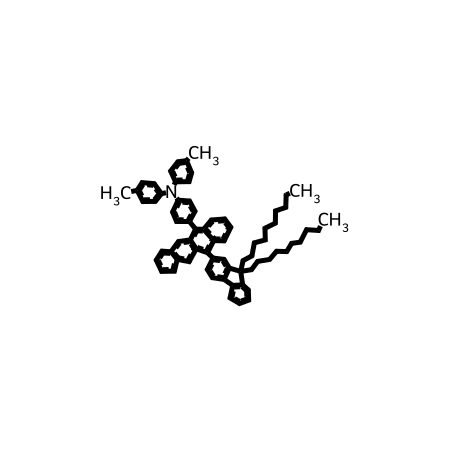 CCCCCCCCCCC1(CCCCCCCCCC)c2ccccc2-c2ccc(-c3c4ccccc4c(-c4ccc(N(c5ccc(C)cc5)c5ccc(C)cc5)cc4)c4cc5ccccc5cc34)cc21